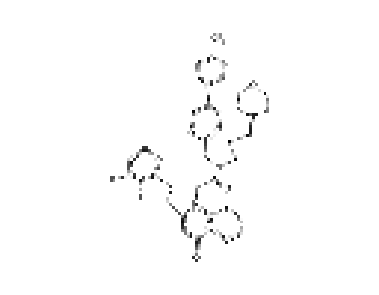 O=C(Cn1c(CCc2cccc(F)c2F)nc(=O)c2ccccc21)N(CCCN1CCOCC1)Cc1ccc(-c2ccc(C(F)(F)F)cc2)cc1